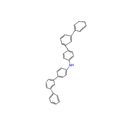 C1=CC(c2cccc(-c3ccc(Nc4ccc(-c5cccc(-c6ccccc6)c5)cc4)cc3)c2)=CCC1